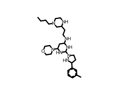 CCCCN1CCNC(CCNC2CC(N3CCOCC3)NC(N3CCC(c4cccc(C)c4)N3)N2)C1